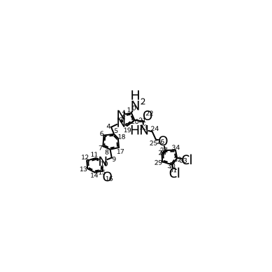 Nc1nn(Cc2ccc(Cn3ccccc3=O)cc2)cc1C(=O)NCCOc1ccc(Cl)c(Cl)c1